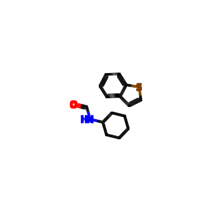 O=CNC1CCCCC1.c1ccc2sccc2c1